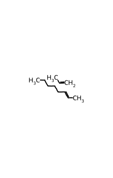 C=CC.CC=CCCCCC